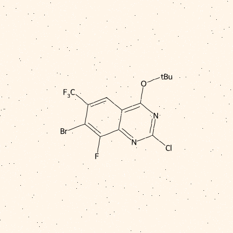 CC(C)(C)Oc1nc(Cl)nc2c(F)c(Br)c(C(F)(F)F)cc12